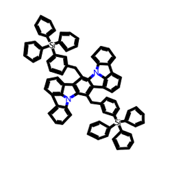 c1ccc([Si](c2ccccc2)(c2ccccc2)c2cccc(Cc3c4c5cccc6c7ccccc7n(c4c(Cc4cccc([Si](c7ccccc7)(c7ccccc7)c7ccccc7)c4)c4c7cccc8c9ccccc9n(c34)c87)c65)c2)cc1